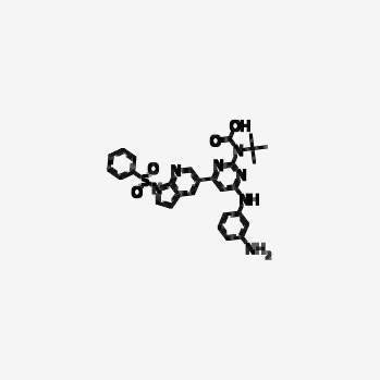 CC(C)(C)N(C(=O)O)c1nc(Nc2cccc(N)c2)cc(-c2cnc3c(ccn3S(=O)(=O)c3ccccc3)c2)n1